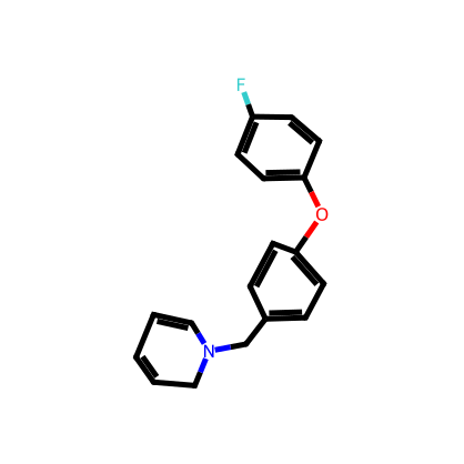 Fc1ccc(Oc2ccc(CN3C=CC=CC3)cc2)cc1